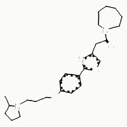 CC1CCCN1CCCOc1ccc(-c2nc(CC(=O)N3CCCCCC3)co2)cc1